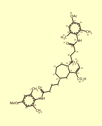 COc1cc(C)c(NC(=O)CCCN2CCCN(CCCC(=O)Nc3c(C)cc(OC(C)=O)cc3C)C(/C(=C\C(=O)O)C(=O)O)C2)c(C)c1